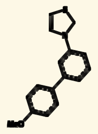 COc1ccc(-c2cccc(N3C=CSC3)c2)cc1